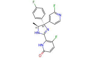 C[C@@H]1NC(c2[nH]c(=O)ccc2F)=N[C@]1(c1ccc(F)cc1)c1ccnc(F)c1